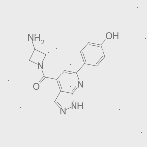 NC1CN(C(=O)c2cc(-c3ccc(O)cc3)nc3[nH]ncc23)C1